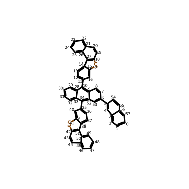 c1ccc2cc(-c3ccc4c(-c5ccc6c(c5)sc5ccc7ccccc7c56)c5ccccc5c(-c5ccc6c(c5)sc5ccc7ccccc7c56)c4c3)ccc2c1